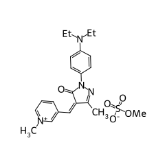 CCN(CC)c1ccc(N2N=C(C)C(=Cc3ccc[n+](C)c3)C2=O)cc1.COS(=O)(=O)[O-]